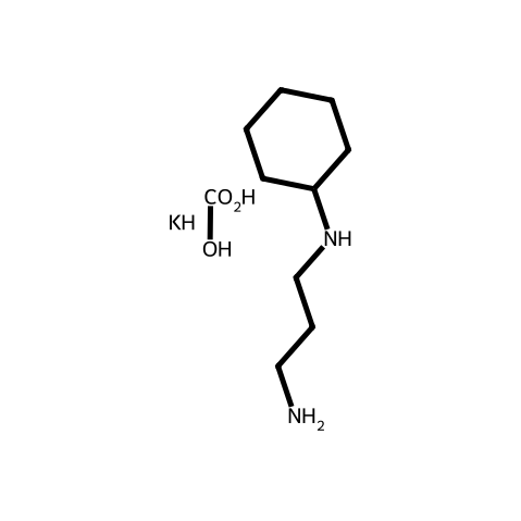 NCCCNC1CCCCC1.O=C(O)O.[KH]